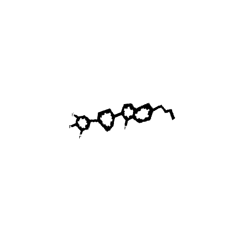 C=CCCc1ccc2c(F)c(-c3ccc(-c4cc(F)c(F)c(F)c4)cc3)ccc2c1